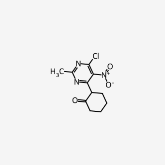 Cc1nc(Cl)c([N+](=O)[O-])c(C2CCCCC2=O)n1